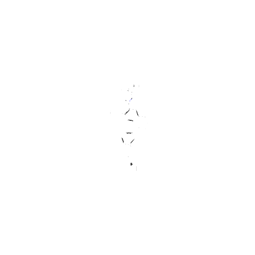 C#CCOc1cccc(C2OCCc3cc(/N=C/N(C)CC)c(C)cc32)c1